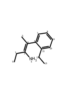 CCC(N)=C(C)c1ccccc1CC